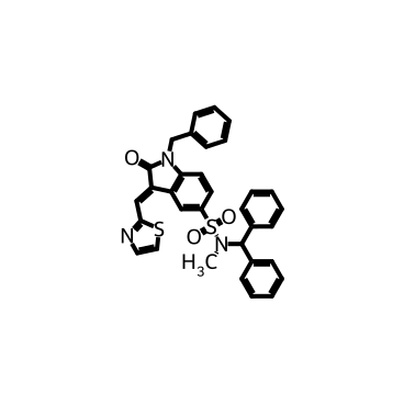 CN(C(c1ccccc1)c1ccccc1)S(=O)(=O)c1ccc2c(c1)/C(=C\c1nccs1)C(=O)N2Cc1ccccc1